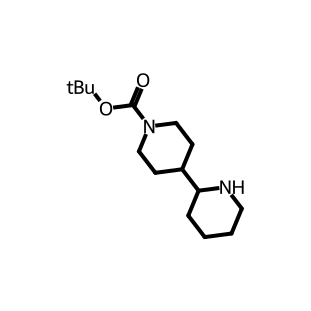 CC(C)(C)OC(=O)N1CCC(C2CCCCN2)CC1